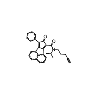 C#CCCCN(C(=O)C1=C2C(=C(c3ccccc3)C1=O)c1cccc3cccc2c13)C(C)C